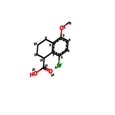 COc1ccc(Br)c2c1CCCC2C(=O)O